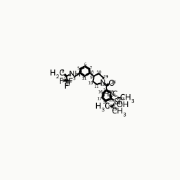 C=C(NCc1cccc(C2CCN(C(=O)c3cccc([Si](O)(C(C)C)C(C)C)c3)CC2)c1)C(F)(F)F